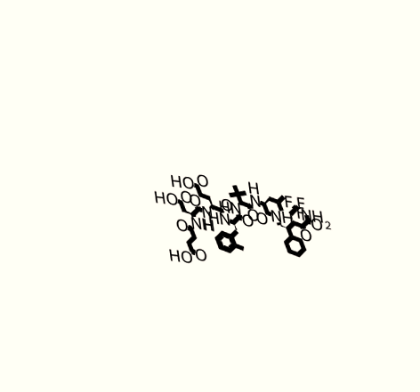 Cc1ccccc1C[C@H](NC(=O)[C@H](CCC(=O)O)NC(=O)[C@H](CC(=O)O)NC(=O)CCC(=O)O)C(=O)N[C@H](C(=O)N[C@@H](CC(C)C)C(=O)NC[C@@H](C1CCCCC1)[C@H](CC(F)(F)F)C(=O)C(N)=O)C(C)(C)C